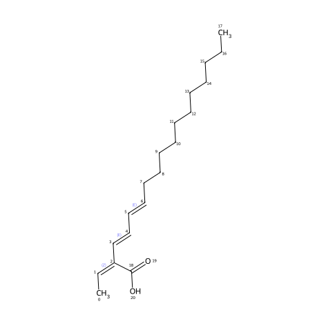 C/C=C(/C=C/C=C/CCCCCCCCCCC)C(=O)O